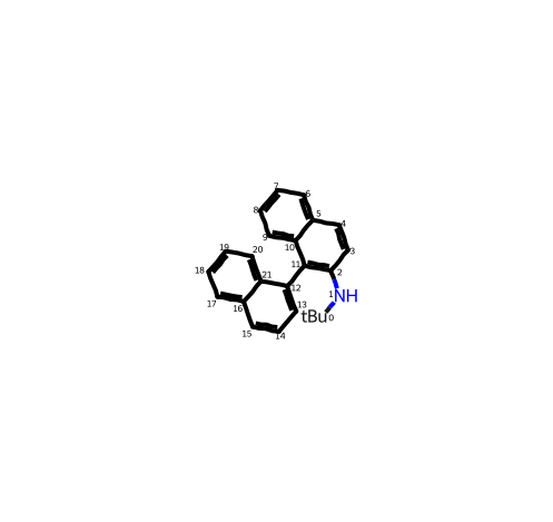 CC(C)(C)Nc1ccc2ccccc2c1-c1cccc2ccccc12